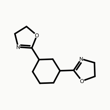 C1CC(C2=NCCO2)CC(C2=NCCO2)C1